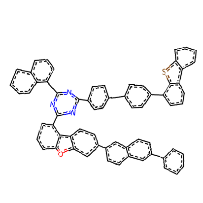 c1ccc(-c2ccc3cc(-c4ccc5c(c4)oc4cccc(-c6nc(-c7ccc(-c8ccc(-c9cccc%10c9sc9ccccc9%10)cc8)cc7)nc(-c7cccc8ccccc78)n6)c45)ccc3c2)cc1